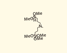 CO[SiH](CCCN(C)CCC[Si](OC)(OC)OC)OC